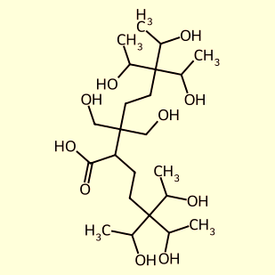 CC(O)C(CCC(C(=O)O)C(CO)(CO)CCC(C(C)O)(C(C)O)C(C)O)(C(C)O)C(C)O